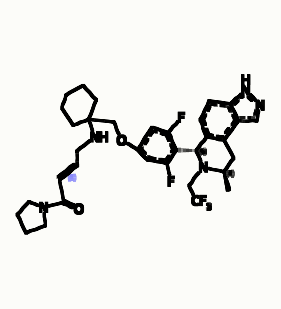 C[C@@H]1Cc2c(ccc3[nH]ncc23)[C@@H](c2c(F)cc(OCC3(NC/C=C/C(=O)N4CCCC4)CCCCC3)cc2F)N1CC(F)(F)F